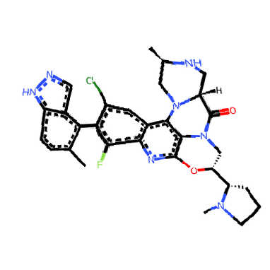 Cc1ccc2[nH]ncc2c1-c1c(Cl)cc2c3c4c(nc2c1F)O[C@@H]([C@@H]1CCCN1C)CN4C(=O)[C@H]1CN[C@H](C)CN31